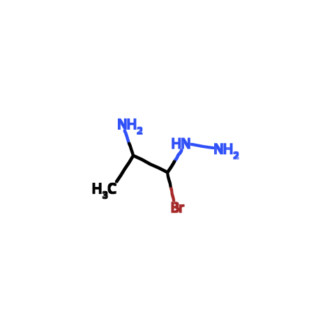 CC(N)C(Br)NN